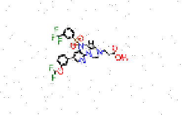 O=C(O)CCN1CCN2c3ncc(-c4cccc(OC(F)F)c4)cc3N(S(=O)(=O)c3cccc(C(F)(F)F)c3)C[C@@H]2C1